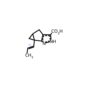 C/C=C/C12CC1Cc1c2n[nH]c1C(=O)O